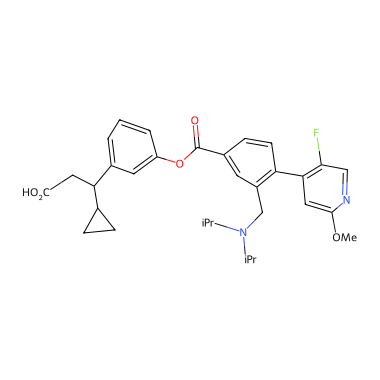 COc1cc(-c2ccc(C(=O)Oc3cccc(C(CC(=O)O)C4CC4)c3)cc2CN(C(C)C)C(C)C)c(F)cn1